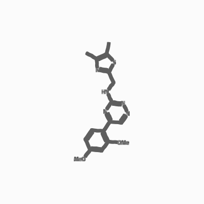 COc1ccc(-c2cnnc(NCc3nc(C)c(C)s3)n2)c(OC)c1